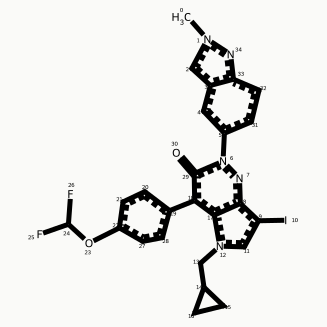 Cn1cc2cc(-n3nc4c(I)cn(CC5CC5)c4c(-c4ccc(OC(F)F)cc4)c3=O)ccc2n1